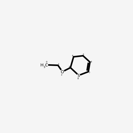 CCOC1CCC=CS1